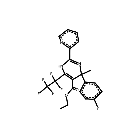 CCOC(=O)C1=C(C(F)(F)C(F)(F)F)NC(c2ccccn2)=NC1(C)c1ccc(F)cc1